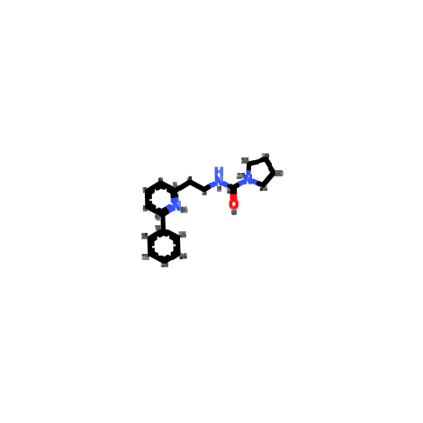 O=C(NCCc1cccc(-c2ccccc2)n1)N1CCCC1